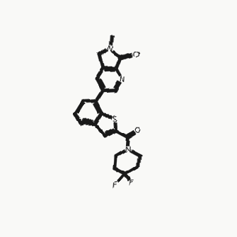 CN1Cc2cc(-c3cccc4cc(C(=O)N5CCC(F)(F)CC5)sc34)cnc2C1=O